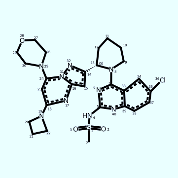 CS(=O)(=O)Nc1nc(N2CCCC[C@H]2c2cc3nc(N4CCC4)cc(N4CCOCC4)n3n2)c2cc(Cl)ccc2n1